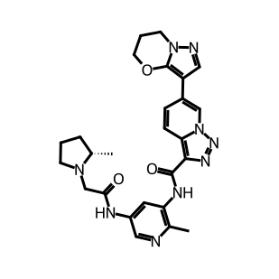 Cc1ncc(NC(=O)CN2CCC[C@@H]2C)cc1NC(=O)c1nnn2cc(-c3cnn4c3OCCC4)ccc12